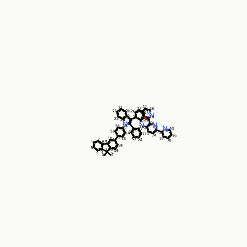 CC1(C)c2ccccc2-c2cc(-c3ccc(-n4c5c(c6ccccc64)-c4ccccc4N(c4ccc(-c6ccccn6)nc4-c4ccccn4)c4ccccc4-5)cc3)ccc21